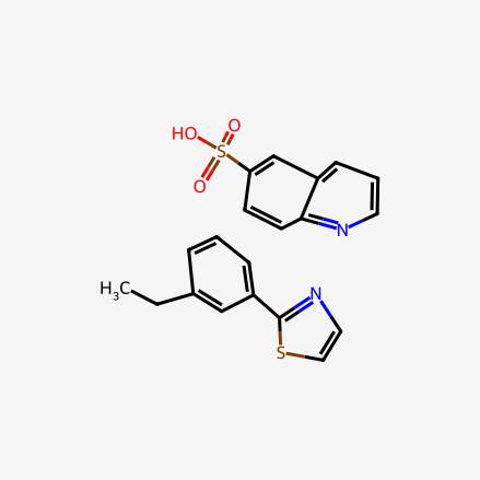 CCc1cccc(-c2nccs2)c1.O=S(=O)(O)c1ccc2ncccc2c1